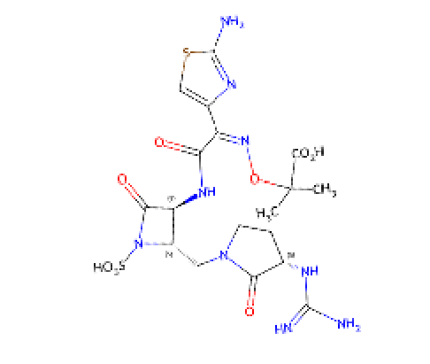 CC(C)(ON=C(C(=O)N[C@@H]1C(=O)N(S(=O)(=O)O)[C@H]1CN1CC[C@H](NC(=N)N)C1=O)c1csc(N)n1)C(=O)O